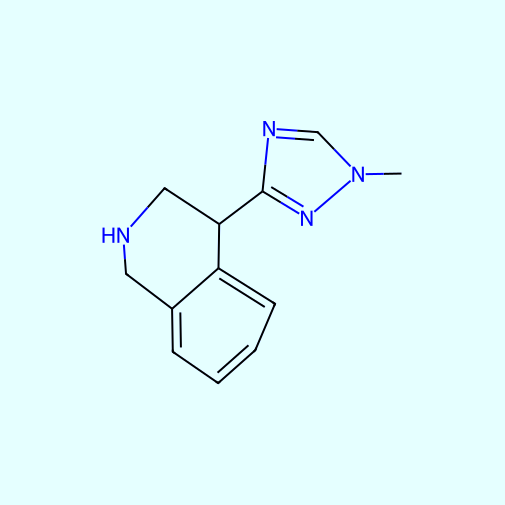 Cn1cnc(C2CNCc3ccccc32)n1